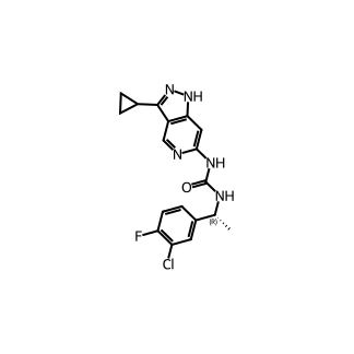 C[C@@H](NC(=O)Nc1cc2[nH]nc(C3CC3)c2cn1)c1ccc(F)c(Cl)c1